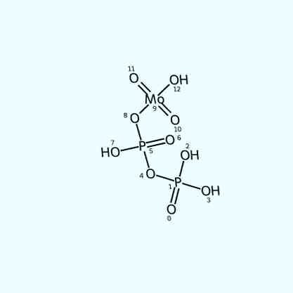 O=P(O)(O)OP(=O)(O)[O][Mo](=[O])(=[O])[OH]